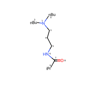 CCCCN(CCCC)CCCNC(=O)C(C)C